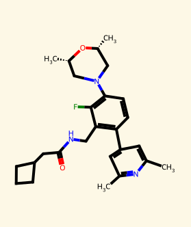 Cc1cc(-c2ccc(N3C[C@@H](C)O[C@@H](C)C3)c(F)c2CNC(=O)CC2CCC2)cc(C)n1